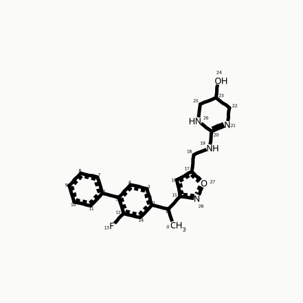 CC(c1ccc(-c2ccccc2)c(F)c1)c1cc(CNC2=NCC(O)CN2)on1